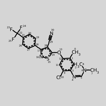 Cc1cc(/N=C\N(C)C)c(Cl)cc1Oc1snc(-c2ccc(C(F)(F)F)cc2)c1C#N